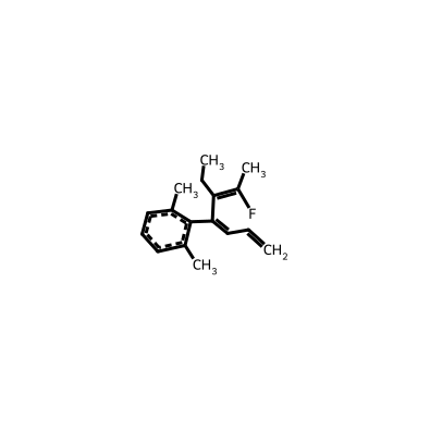 C=C/C=C(\C(CC)=C(\C)F)c1c(C)cccc1C